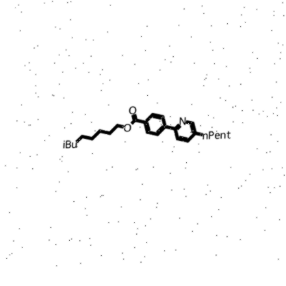 CCCCCc1ccc(-c2ccc(C(=O)OCCCCCC(C)CC)cc2)nc1